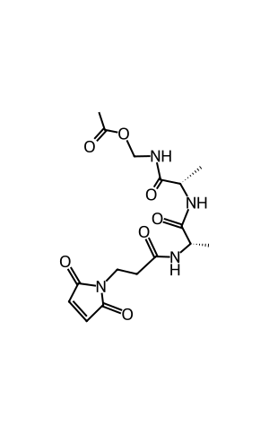 CC(=O)OCNC(=O)[C@H](C)NC(=O)[C@H](C)NC(=O)CCN1C(=O)C=CC1=O